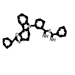 N=C(SC(=N)c1cccc(-n2c3ccccc3c3c4oc(-c5ccccc5)nc4ccc32)c1)c1ccccc1